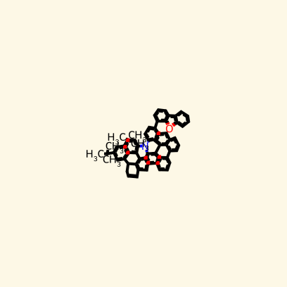 CC(C)(C)c1cc(C2CC=Cc3cccc(-c4ccccc4N(c4ccc(-c5cccc6c5oc5ccccc56)cc4)c4ccccc4-c4cccc5cccc(-c6ccccc6)c45)c32)cc(C(C)(C)C)c1